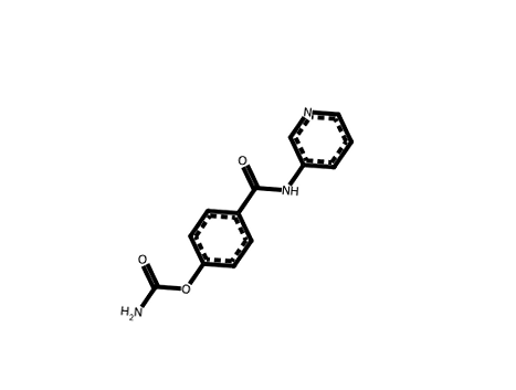 NC(=O)Oc1ccc(C(=O)Nc2cccnc2)cc1